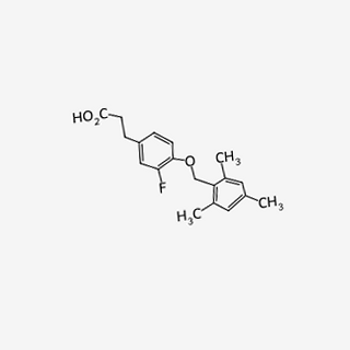 Cc1cc(C)c(COc2ccc(CCC(=O)O)cc2F)c(C)c1